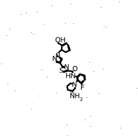 N[C@@H]1CCCN(c2c(F)cccc2NC(=O)c2csc(-c3cnn(CC4CC=CC=C4CO)c3)n2)C1